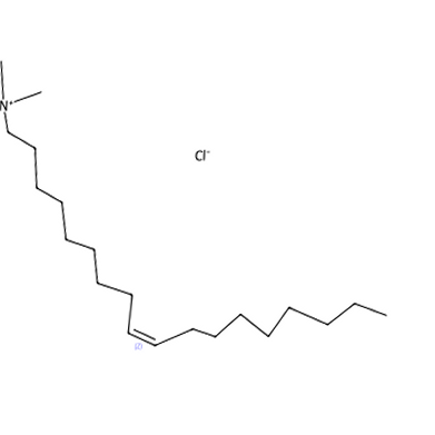 CCCCCCCC/C=C\CCCCCCCC[N+](C)(C)C.[Cl-]